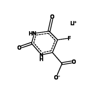 O=C([O-])c1[nH]c(=O)[nH]c(=O)c1F.[Li+]